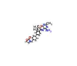 Cc1nc(N)c2c(n1)OC(C)(C)C(c1ccc([C@H]3CC[C@H](CN4CCOC4=O)CC3)cc1)=N2